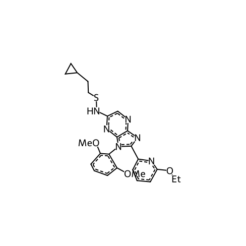 CCOc1cccc(-c2nc3ncc(NSCCC4CC4)nc3n2-c2c(OC)cccc2OC)n1